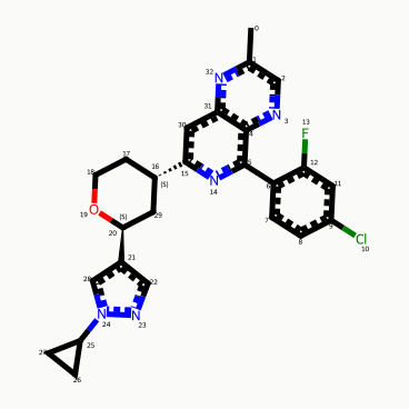 Cc1cnc2c(-c3ccc(Cl)cc3F)nc([C@H]3CCO[C@H](c4cnn(C5CC5)c4)C3)cc2n1